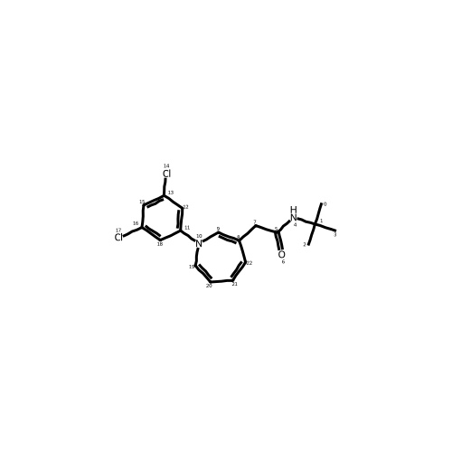 CC(C)(C)NC(=O)CC1=CN(c2cc(Cl)cc(Cl)c2)C=CC=C1